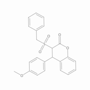 COc1ccc(C2c3ccccc3OC(=O)C2S(=O)(=O)Cc2ccccc2)cc1